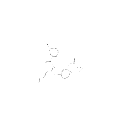 C=C/C=C/C(=N\C(=N)c1cccc(C(F)(F)F)n1)Nc1ccnc(NC(=C)C2CC2)c1